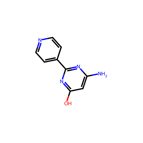 Nc1cc(O)nc(-c2ccncc2)n1